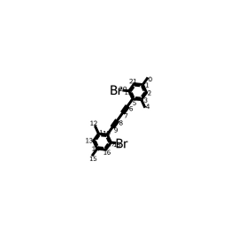 Cc1cc(C)c(C#CC#Cc2c(C)cc(C)cc2Br)c(Br)c1